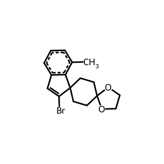 Cc1cccc2c1C1(CCC3(CC1)OCCO3)C(Br)=C2